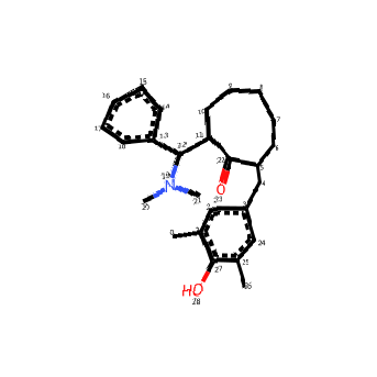 Cc1cc(CC2CCCCCC(C(c3ccccc3)N(C)C)C2=O)cc(C)c1O